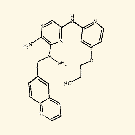 Nc1ncc(Nc2cc(OCCO)ccn2)nc1N(N)Cc1ccc2ncccc2c1